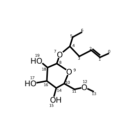 CC=CCC(CC)OC1OC(COC)C(O)C(O)C1O